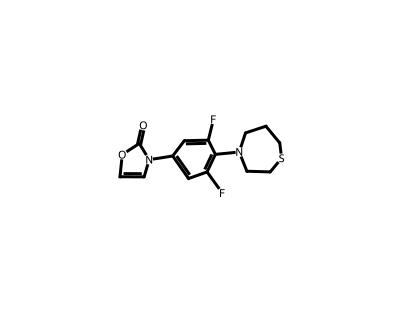 O=c1occn1-c1cc(F)c(N2CCCSCC2)c(F)c1